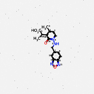 Cc1ccn(NCc2ccc3nonc3c2)c(=O)c1C(C)C(=O)O